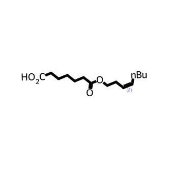 CCCC/C=C\CCOC(=O)CCCCCC(=O)O